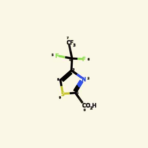 O=C(O)c1nc(C(F)(F)C(F)(F)F)cs1